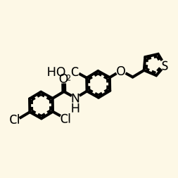 O=C(Nc1ccc(OCc2ccsc2)cc1C(=O)O)c1ccc(Cl)cc1Cl